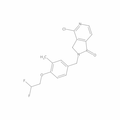 Cc1cc(CN2Cc3c(ccnc3Cl)C2=O)ccc1OCC(F)F